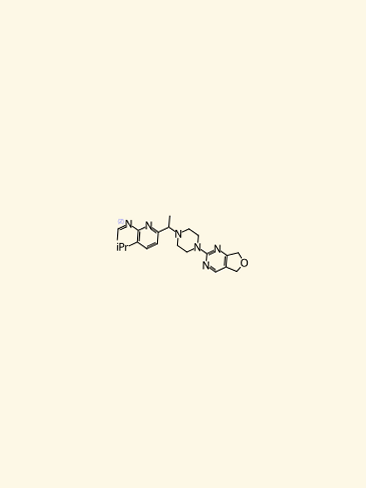 C/C=N\c1nc(C(C)N2CCN(c3ncc4c(n3)COC4)CC2)ccc1C(C)C